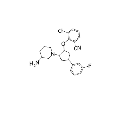 N#Cc1cccc(Cl)c1OC1CC(c2cccc(F)c2)CC1N1CCCC(N)C1